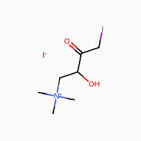 C[N+](C)(C)CC(O)C(=O)CI.[I-]